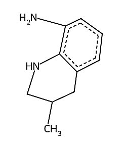 CC1CNc2c(N)cccc2C1